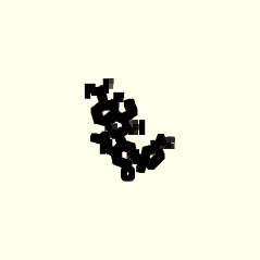 C=C[C@@H](Nc1nc(C)nc2cc(=O)n(C3(C)CCN(C(C)=O)C3)cc12)c1cccc(C(F)F)c1F